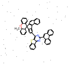 C[C@@]12C=CC=CC1C1(c3ccccc3O2)c2ccc(-c3nc(-c4cc5ccccc5c5ccccc45)nc4c3sc3ccccc34)cc2-c2c1ccc1ccccc21